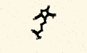 CC(C)C(=O)CCCN1C(=N)N(C)CC1=O